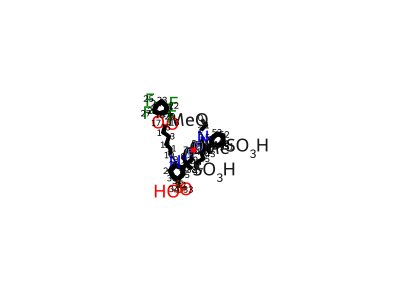 COCCN1/C(=C/C=C/C2=[N+](CCCCCC(=O)Oc3c(F)c(F)cc(F)c3F)c3ccc(S(=O)O)cc3C2(C)CCOC)C(C)(CCCS(=O)(=O)O)c2cc(S(=O)(=O)O)ccc21